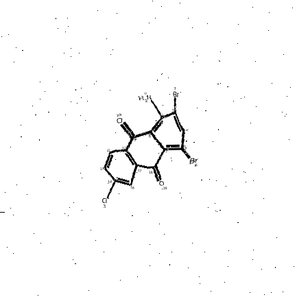 Nc1c(Br)cc(Br)c2c1C(=O)c1ccc(Cl)cc1C2=O